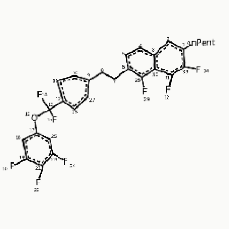 CCCCCc1cc2ccc(CCc3ccc(C(F)(F)Oc4cc(F)c(F)c(F)c4)cc3)c(F)c2c(F)c1F